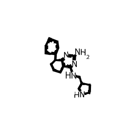 Nc1nc(NCC2CCNC2)c2c(n1)C(c1ccccc1)CCC2